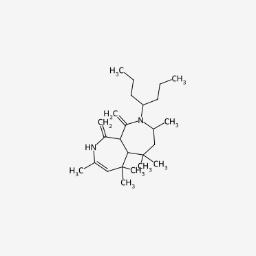 C=C1NC(C)=CC(C)(C)C2C1C(=C)N(C(CCC)CCC)C(C)CC2(C)C